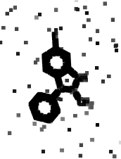 CN1Nc2cc(F)ccc2N1c1ccccc1